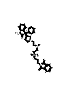 CN(CCN1CCC(C(C(N)=O)(c2ccccc2)c2ccccc2)C1)CC[N+](C)(C)CCCN1C(=O)c2ccccc2C1=O